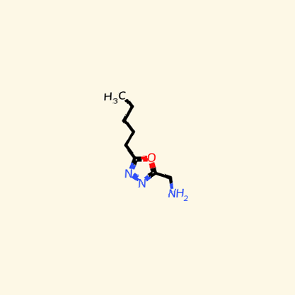 CCCCCc1nnc(CN)o1